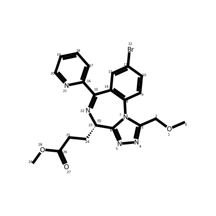 COCc1nnc2n1-c1ccc(Br)cc1C(c1ccccn1)=N[C@H]2CCC(=O)OC